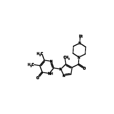 CCN1CCN(C(=O)c2cnn(-c3nc(C)c(C)c(=O)[nH]3)c2C)CC1